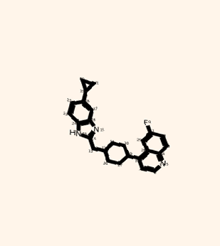 Fc1ccc2nccc(C3CCC(Cc4nc5cc(C6CC6)ccc5[nH]4)CC3)c2c1